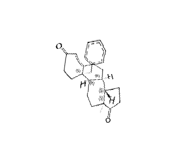 C[C@]12CC[C@@H]3[C@@H](CCC4=CC(=O)CC[C@@]43Cc3ccccc3)[C@@H]1CCC2=O